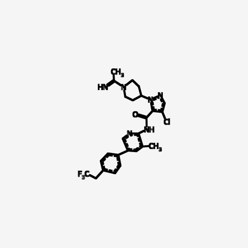 CC(=N)N1CCC(n2ncc(Cl)c2C(=O)Nc2ncc(-c3ccc(CC(F)(F)F)cc3)cc2C)CC1